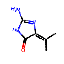 CC(C)=C1N=C(N)NC1=O